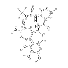 COc1cc2c(c(OC)c1OC)-c1ccc(SC)c(=O)cc1[C@@H](NC(=O)c1cc(C)ccc1NC(=O)OC(C)(C)C)CC2